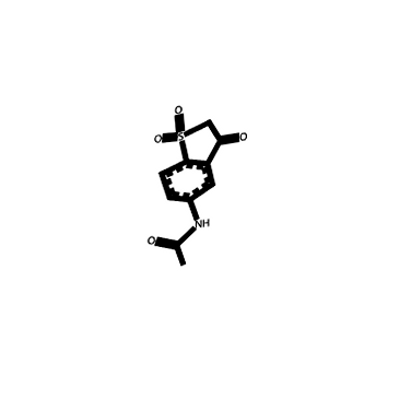 CC(=O)Nc1ccc2c(c1)C(=O)CS2(=O)=O